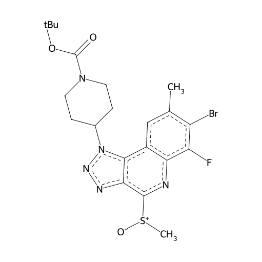 Cc1cc2c(nc([S+](C)[O-])c3nnn(C4CCN(C(=O)OC(C)(C)C)CC4)c32)c(F)c1Br